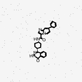 O=C(N[C@H]1CC[C@H](c2n[nH]c(=O)c3ccccc32)CC1)c1cnc2cc(-c3ccccc3)ccn12